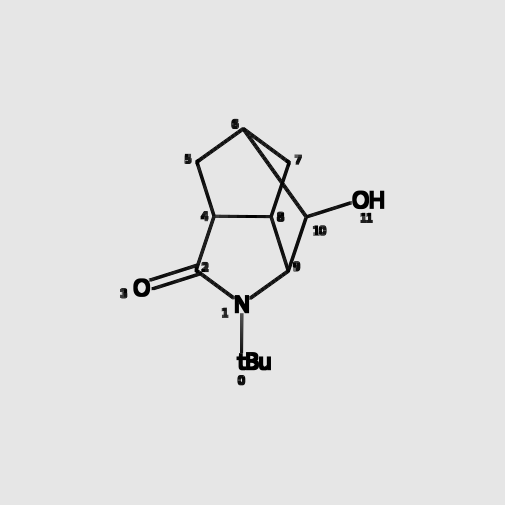 CC(C)(C)N1C(=O)C2CC3CC2C1C3O